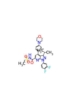 CCS(=O)(=O)NC(=O)c1cc(-c2ccc(N3CCOCC3)cc2)c2c(C(C)C)nn(-c3ccc(F)c(F)c3)c2n1